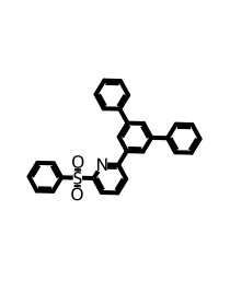 O=S(=O)(c1ccccc1)c1cccc(-c2cc(-c3ccccc3)cc(-c3ccccc3)c2)n1